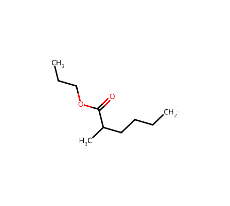 [CH2]CCCC(C)C(=O)OCCC